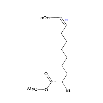 CCCCCCCC/C=C\CCCCCCC(CC)C(=O)OOC